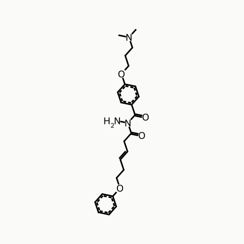 CN(C)CCCOc1ccc(C(=O)N(N)C(=O)CC=CCCOc2ccccc2)cc1